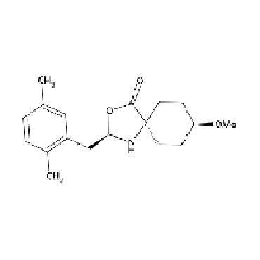 CO[C@H]1CC[C@]2(CC1)N[C@@H](Cc1cc(C)ccc1C)OC2=O